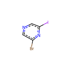 Brc1cncc(I)n1